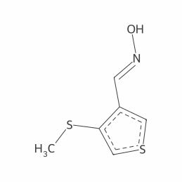 CSc1cscc1C=NO